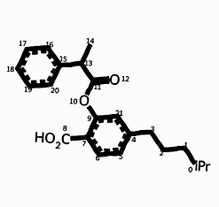 CC(C)CCCc1ccc(C(=O)O)c(OC(=O)C(C)c2ccccc2)c1